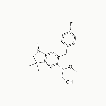 COC(CO)c1nc2c(cc1Cc1ccc(F)cc1)N(C)CC2(C)C